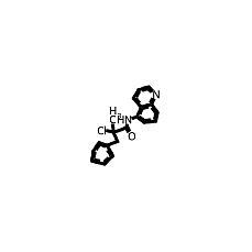 CC(Cl)(Cc1ccccc1)C(=O)Nc1cccc2ncccc12